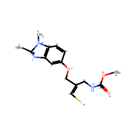 CCCCc1nc2cc(OCC(=CF)CNC(=O)OC(C)(C)C)ccc2n1C